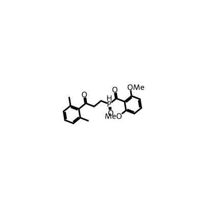 COc1cccc(OC)c1C(=O)[PH](=O)CCC(=O)c1c(C)cccc1C